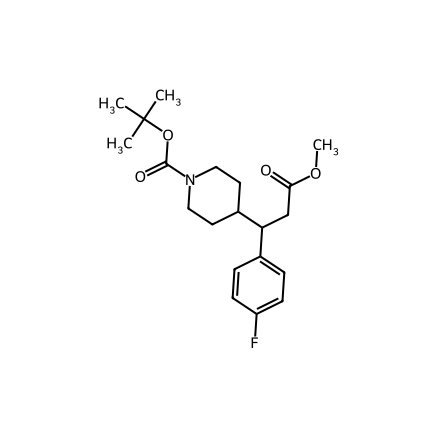 COC(=O)CC(c1ccc(F)cc1)C1CCN(C(=O)OC(C)(C)C)CC1